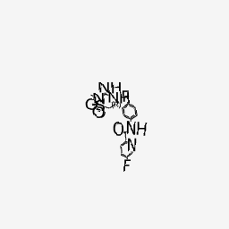 CN1C(=N)N[C@H](c2cc(NC(=O)c3ccc(F)cn3)ccc2F)CS1(=O)=O